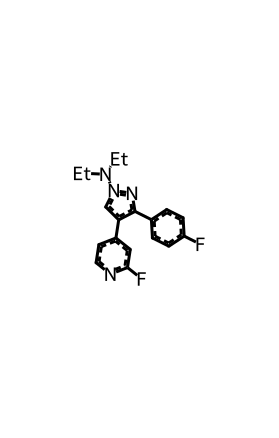 CCN(CC)n1cc(-c2ccnc(F)c2)c(-c2ccc(F)cc2)n1